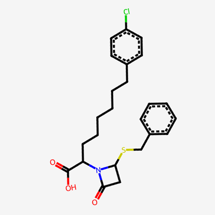 O=C(O)C(CCCCCCc1ccc(Cl)cc1)N1C(=O)CC1SCc1ccccc1